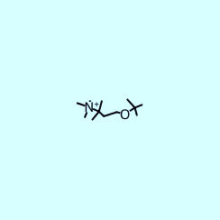 CC(C)(C)OCCC(C)(C)[N+](C)(C)C